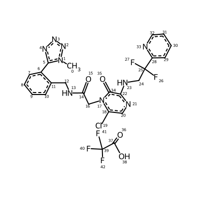 Cn1nnnc1-c1ccccc1CNC(=O)Cn1c(Cl)cnc(NCC(F)(F)c2ccccn2)c1=O.O=C(O)C(F)(F)F